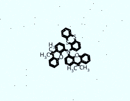 CC1(C)c2ccccc2Oc2c(N(c3cccc4c3Oc3ccccc3C4(C)C)c3cccc4c3Sc3ccccc3S4)cccc21